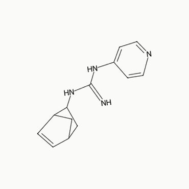 N=C(Nc1ccncc1)NC1CC2C=CC1C2